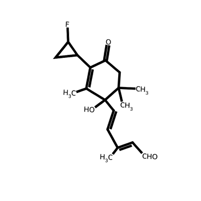 CC(C=CC1(O)C(C)=C(C2CC2F)C(=O)CC1(C)C)=CC=O